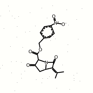 CC(C)=C1C(=O)N2C1CC(=O)C2C(=O)OCc1ccc([N+](=O)[O-])cc1